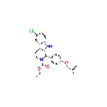 C=C(C)COc1ccc(C2c3[nH]c4ccc(Cl)cc4c3CCN2C(=O)OCC)cc1